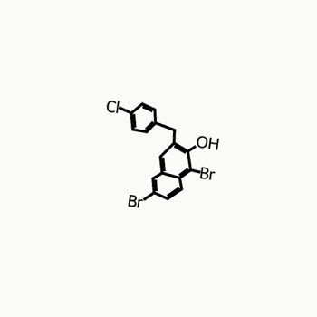 Oc1c(Cc2ccc(Cl)cc2)cc2cc(Br)ccc2c1Br